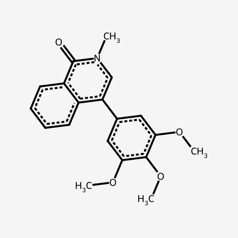 COc1cc(-c2cn(C)c(=O)c3ccccc23)cc(OC)c1OC